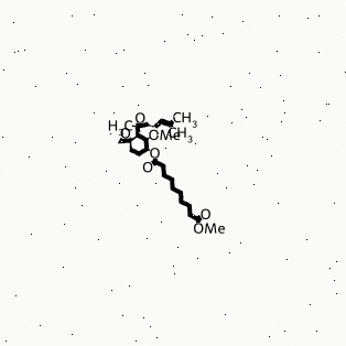 COC(=O)CCCCCCCCC(=O)O[C@@H]1CC[C@]2(CO2)[C@@H]([C@@]2(C)O[C@@H]2CC=C(C)C)[C@@H]1OC